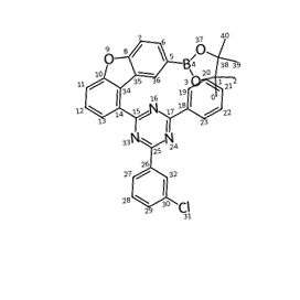 CC1(C)OB(c2ccc3oc4cccc(-c5nc(-c6ccccc6)nc(-c6cccc(Cl)c6)n5)c4c3c2)OC1(C)C